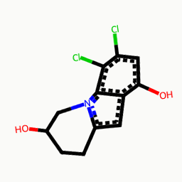 Oc1cc(Cl)c(Cl)c2c1cc1n2CC(O)CC1